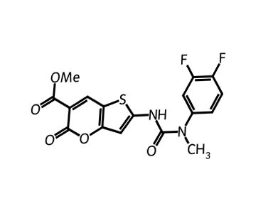 COC(=O)c1cc2sc(NC(=O)N(C)c3ccc(F)c(F)c3)cc2oc1=O